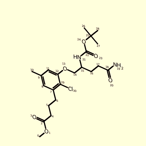 COC(=O)CCCc1cc(C)cc(OCC(CCC(N)=O)NC(=O)OC(C)(C)C)c1Cl